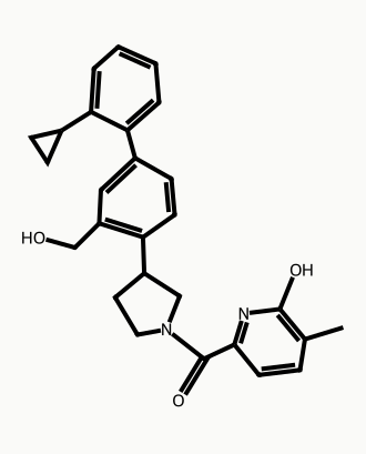 Cc1ccc(C(=O)N2CCC(c3ccc(-c4ccccc4C4CC4)cc3CO)C2)nc1O